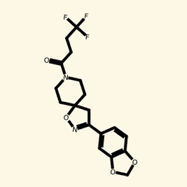 O=C(CCC(F)(F)F)N1CCC2(CC1)CC(c1ccc3c(c1)OCO3)=NO2